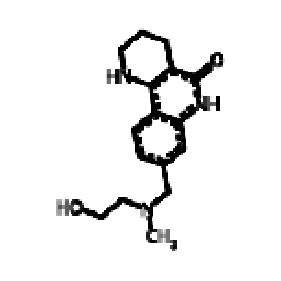 CN(CCO)Cc1ccc2c3c(c(=O)[nH]c2c1)CCCN3